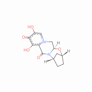 O=C1c2c(O)c(=O)c(O)cn2C[C@H]2O[C@@H]3CC[C@@H](C3)N12